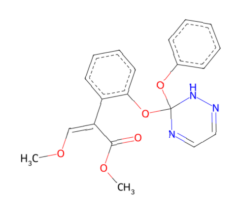 COC=C(C(=O)OC)c1ccccc1OC1(Oc2ccccc2)N=CC=NN1